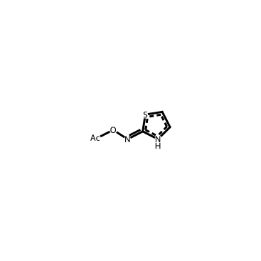 CC(=O)ON=c1[nH]ccs1